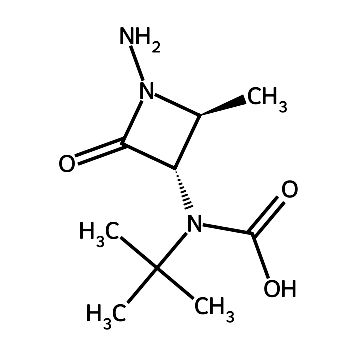 C[C@H]1[C@H](N(C(=O)O)C(C)(C)C)C(=O)N1N